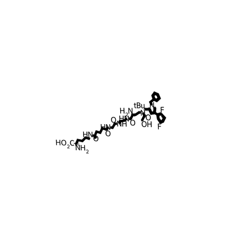 CC(C)(C)[C@H](c1cc(-c2cc(F)ccc2F)cn1Cc1ccccc1)N(CC[C@H](N)C(=O)NCCNC(=O)CNC(=O)CCCC(=O)NCCCC[C@H](N)C(=O)O)C(=O)CO